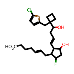 O=C(O)CCCC=CCC1C(F)CC(O)C1C=CCC(O)C1(Cc2ccc(Cl)s2)CCC1